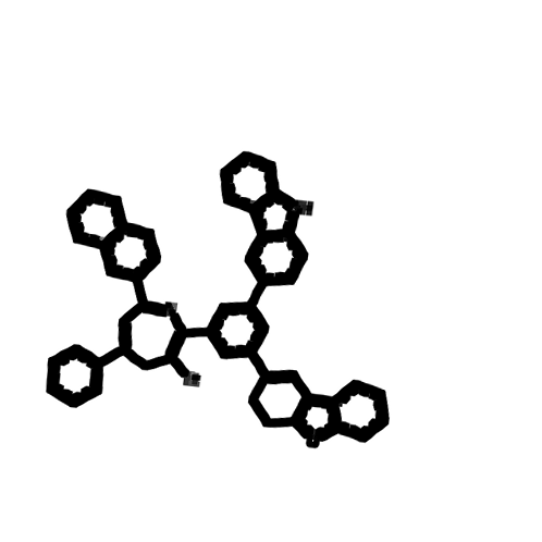 CCC1=C(c2cc(C3=Cc4c(oc5ccccc45)CC3)cc(-c3ccc4[nH]c5ccccc5c4c3)c2)N=C(c2ccc3ccccc3c2)C=C(c2ccccc2)C1